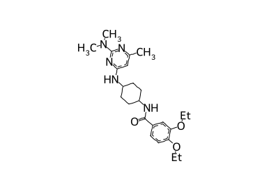 CCOc1ccc(C(=O)NC2CCC(Nc3cc(C)nc(N(C)C)n3)CC2)cc1OCC